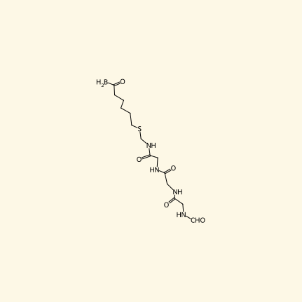 BC(=O)CCCCCSCNC(=O)CNC(=O)CNC(=O)CNC=O